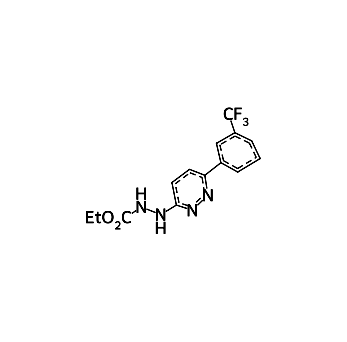 CCOC(=O)NNc1ccc(-c2cccc(C(F)(F)F)c2)nn1